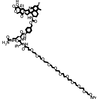 CCCOCCOCCOCCOCCOCCOCCOCCOCCOCCOCCOCCC(=O)N[C@H](C(=O)N[C@@H](CCCNC(N)=O)C(=O)Nc1ccc(COC(=O)N[C@H]2CCc3c(C)c(F)cc4nc5c(c2c34)Cn2c-5cc3c(c2=O)COC(=O)[C@]3(O)CC)cc1)C(C)C